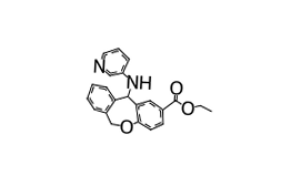 CCOC(=O)c1ccc2c(c1)C(Nc1cccnc1)c1ccccc1CO2